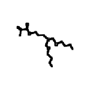 C=C(C)C(=O)OCCCN(COCCCC)COCCCC